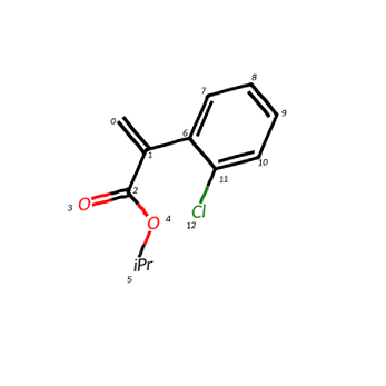 C=C(C(=O)OC(C)C)c1ccccc1Cl